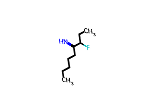 CCCCCC(=N)C(F)CC